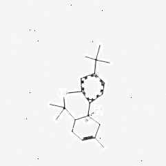 CC1=CCC2[C@@H](C1)c1ccc(C(C)(C)C)cc1OC2(C)C